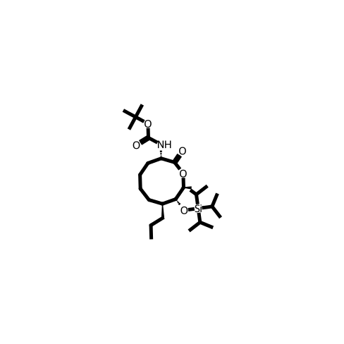 CCC[C@H]1CCCC[C@H](NC(=O)OC(C)(C)C)C(=O)O[C@@H](C)[C@@H]1O[Si](C(C)C)(C(C)C)C(C)C